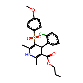 CCCOC(=O)C1=C(C)NC(C)=C(S(=O)(=O)c2ccc(OC)cc2)C1c1ccccc1Cl